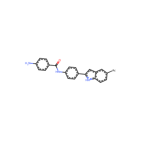 CC(=O)c1ccc2[nH]c(-c3ccc(NC(=O)c4ccc(N)cc4)cc3)cc2c1